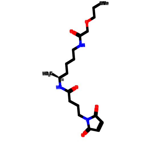 COCCOCC(=O)NCCCC[C@H](NC(=O)CCCN1C(=O)C=CC1=O)C(=O)O